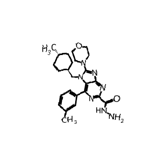 Cc1cccc(-c2nc(C(=O)NN)nc3nc(N4CCOCC4)n(C[C@H]4CC[C@H](C)CC4)c23)c1